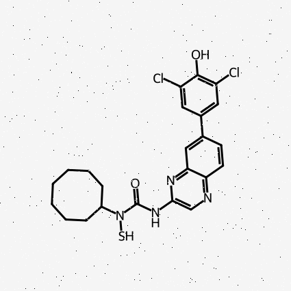 O=C(Nc1cnc2ccc(-c3cc(Cl)c(O)c(Cl)c3)cc2n1)N(S)C1CCCCCCC1